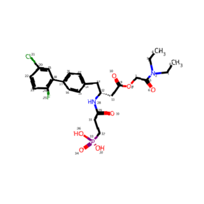 CCN(CC)C(=O)COC(=O)C[C@@H](Cc1ccc(-c2cc(Cl)ccc2F)cc1)NC(=O)CCP(=O)(O)O